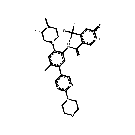 Cc1cc(N2CCN(C)[C@@H](C)C2)c(NC(=O)c2c[nH]c(=O)cc2C(F)(F)F)cc1-c1cnc(N2CCOCC2)nc1